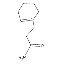 NC(=O)CCC1=CCCCC1